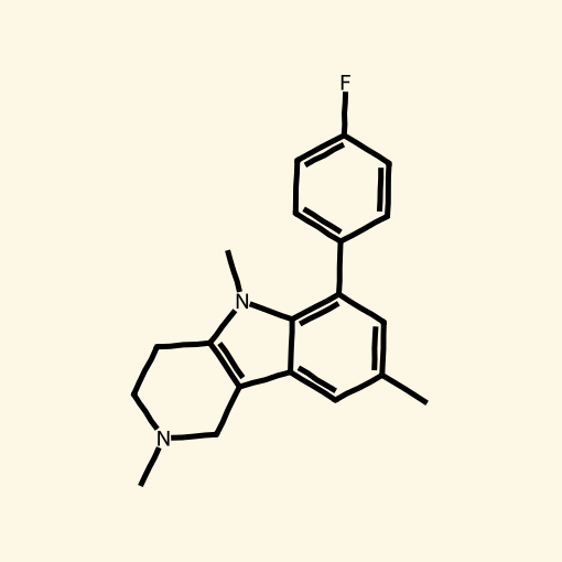 Cc1cc(-c2ccc(F)cc2)c2c(c1)c1c(n2C)CCN(C)C1